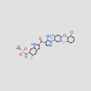 Cc1cc(Oc2c(F)cccc2Cl)ncc1-n1ncc(C(=O)c2cc3cc(F)c(NS(=O)(=O)C4CC4)cc3[nH]2)c1N